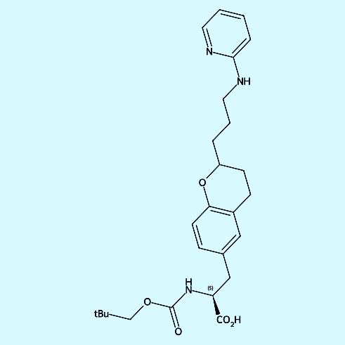 CC(C)(C)COC(=O)N[C@@H](Cc1ccc2c(c1)CCC(CCCNc1ccccn1)O2)C(=O)O